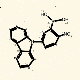 O=[N+]([O-])c1ccc(-n2c3ccccc3c3ccccc32)cc1B(O)O